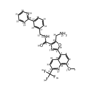 COc1ccc(-c2nc(C(=O)NCc3cccc(-c4ncccn4)c3)c(CN)o2)c2ccc(C(F)(F)F)nc12